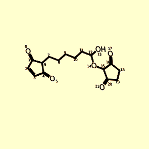 O=C1C=CC(=O)C1CCCCCC(O)OC1C(=O)CCC1=O